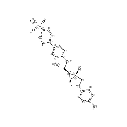 CCc1cnc(N2CC3[C@@H](COc4ccc(-c5ccc(S(C)(=O)=O)cc5)cc4C=O)[C@@H]3C2)nc1